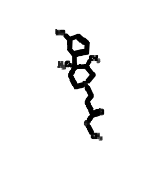 COC(=O)CCN1CC[C@@](C)(c2cccc(O)c2)[C@@H](C)C1